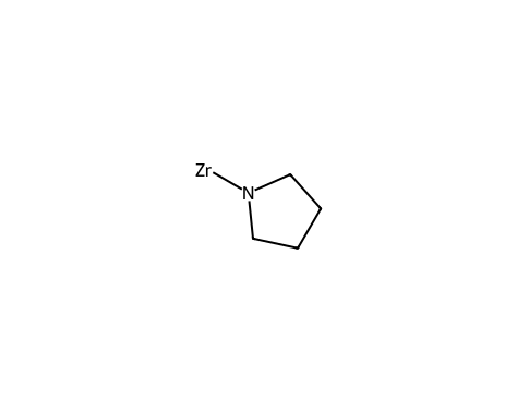 [Zr][N]1CCCC1